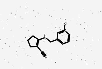 N#CC1=C(NCc2cccc(Cl)c2)CCC1